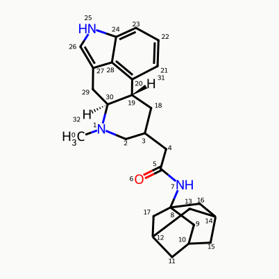 CN1CC(CC(=O)NC23CC4CC(CC(C4)C2)C3)C[C@H]2c3cccc4[nH]cc(c34)C[C@@H]21